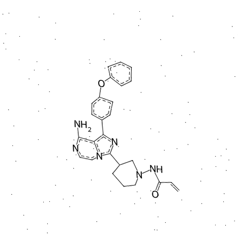 C=CC(=O)NN1CCCC(c2nc(-c3ccc(Oc4ccccc4)cc3)c3c(N)nccn23)C1